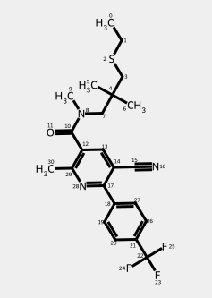 CCSCC(C)(C)CN(C)C(=O)c1cc(C#N)c(-c2ccc(C(F)(F)F)cc2)nc1C